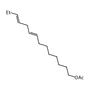 CCC=CCC=CCCCCCCCOC(C)=O